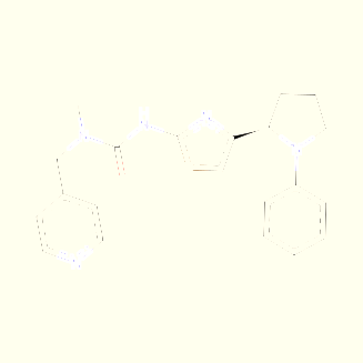 CN(Cc1ccncc1)C(=O)Nc1nc([C@H]2CCCN2c2ccccc2)cs1